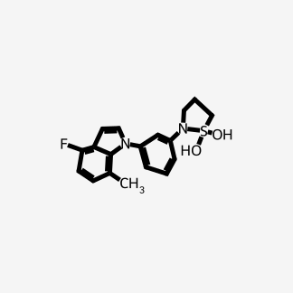 Cc1ccc(F)c2ccn(-c3cccc(N4CCCS4(O)O)c3)c12